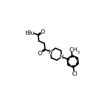 Cc1ccc(Cl)cc1N1CCN(C(=O)CCC(=O)C(C)(C)C)CC1